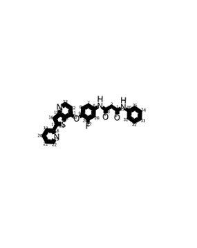 O=C(CC(=O)Nc1ccc(Oc2ccnc3cc(-c4ccccn4)sc23)c(F)c1)Nc1ccccc1